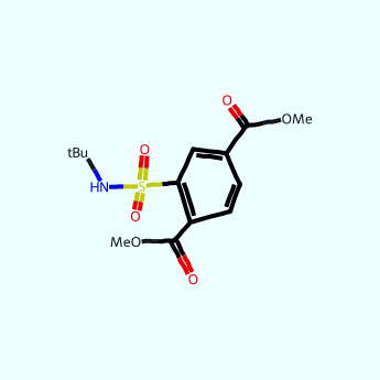 COC(=O)c1ccc(C(=O)OC)c(S(=O)(=O)NC(C)(C)C)c1